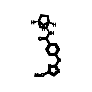 COc1csc(Oc2ccc(C(=O)N[C@@H]3C[C@H]4CC[C@@H]3N4)cc2)n1